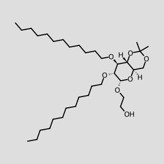 CCCCCCCCCCCCO[C@@H]1[C@@H](OCCCCCCCCCCCC)[C@@H](OCCO)O[C@@H]2COC(C)(C)O[C@@H]12